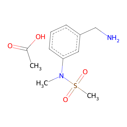 CC(=O)O.CN(c1cccc(CN)c1)S(C)(=O)=O